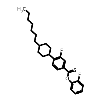 CCCCCCCC1CCC(c2ccc(C(=S)Oc3ccccc3F)cc2F)CC1